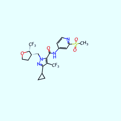 CS(=O)(=O)c1cc(NC(=O)c2c(C(F)(F)F)c(C3CC3)nn2C[C@@H]2CCO[C@@H]2C(F)(F)F)ccn1